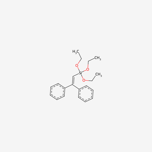 CCO[Si](C=C(c1ccccc1)c1ccccc1)(OCC)OCC